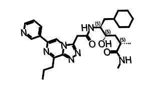 CCCc1nc(-c2cccnc2)cn2c(CC(=O)N[C@@H](CC3CCCCC3)[C@@H](O)C[C@H](C)C(=O)NC)nnc12